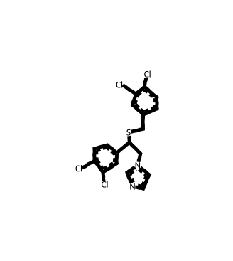 Clc1ccc(CSC(Cn2ccnc2)c2ccc(Cl)c(Cl)c2)cc1Cl